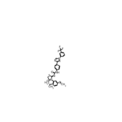 COc1ccc(C(C)C)c(N2C(=O)CS/C2=N\C(=O)Nc2ccc(-c3ncn(-c4cccc(C(F)(F)F)c4)n3)cc2)c1